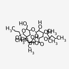 CCCC(C)(CC)O[C@@H]1C(C(=O)O)O[C@@H](O[C@@H]2C(CO)O[C@@H](C(C)(CCC)OC)C(NC(C)=O)[C@H]2O)C(O)[C@H]1O